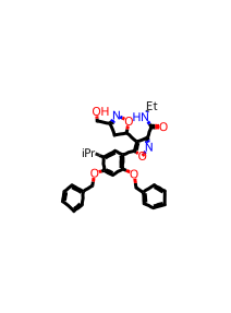 CCNC(=O)c1noc(-c2cc(C(C)C)c(OCc3ccccc3)cc2OCc2ccccc2)c1C1CC(CO)=NO1